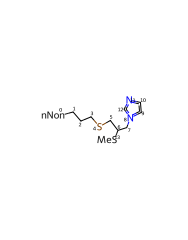 CCCCCCCCCCCCSCC(Cn1ccnc1)SC